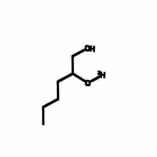 [2H]OC(CO)CCCC